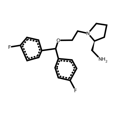 NC[C@@H]1CCCN1CCOC(c1ccc(F)cc1)c1ccc(F)cc1